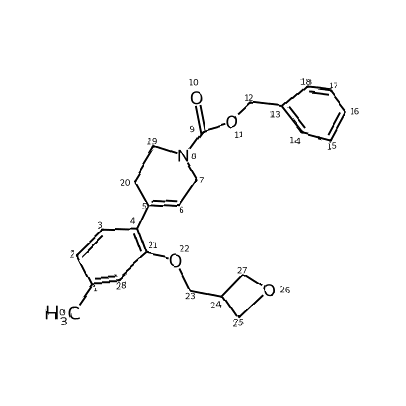 Cc1ccc(C2=CCN(C(=O)OCc3ccccc3)CC2)c(OCC2COC2)c1